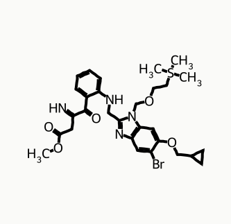 COC(=O)CC(=N)C(=O)c1ccccc1NCc1nc2cc(Br)c(OCC3CC3)cc2n1COCCS(C)(C)C